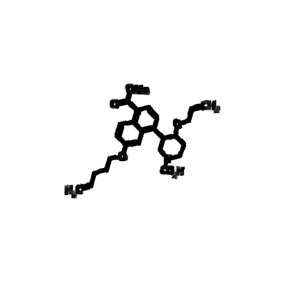 C=CCCCOc1ccc2c(C(=O)OC)ccc(C3CN(C(=O)O)CCC3OCC=C)c2c1